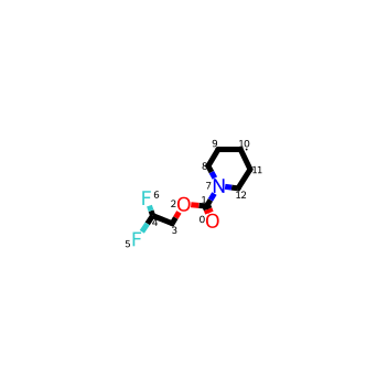 O=C(OCC(F)F)N1CC[CH]CC1